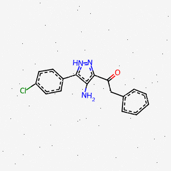 Nc1c(C(=O)Cc2ccccc2)n[nH]c1-c1ccc(Cl)cc1